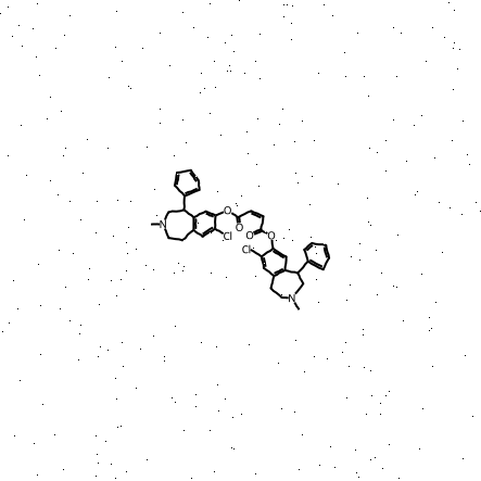 CN1CCc2cc(Cl)c(OC(=O)/C=C\C(=O)Oc3cc4c(cc3Cl)CCN(C)CC4c3ccccc3)cc2C(c2ccccc2)C1